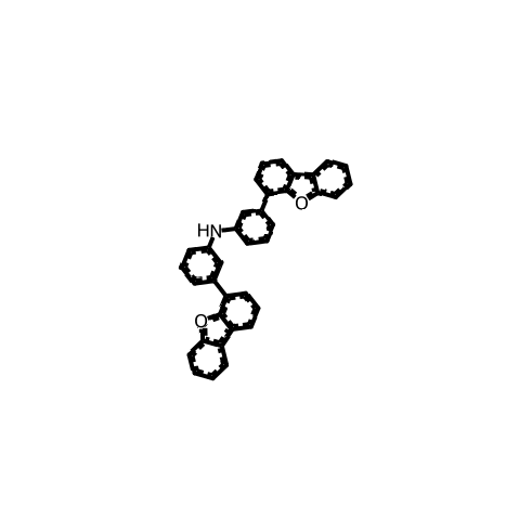 c1cc(Nc2cccc(-c3cccc4c3oc3ccccc34)c2)cc(-c2cccc3c2oc2ccccc23)c1